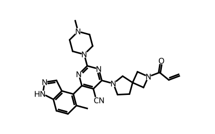 C=CC(=O)N1CC2(CCN(c3nc(N4CCN(C)CC4)nc(-c4c(C)ccc5[nH]ncc45)c3C#N)C2)C1